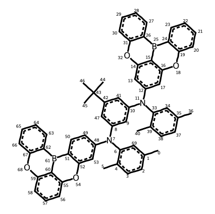 Cc1ccc(C)c(N(c2cc(N(c3cc4c5c(c3)Oc3ccccc3B5c3ccccc3O4)c3cc(C)ccc3C)cc(C(C)(C)C)c2)c2ccc3c(c2)Oc2cccc4c2B3c2ccccc2O4)c1